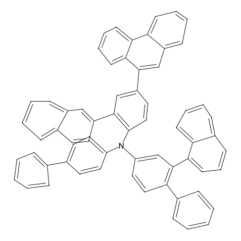 c1ccc(-c2ccc(N(c3ccc(-c4ccccc4)c(-c4cccc5ccccc45)c3)c3ccc(-c4cc5ccccc5c5ccccc45)cc3-c3ccc4ccccc4c3)cc2)cc1